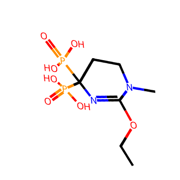 CCOC1=NC(P(=O)(O)O)(P(=O)(O)O)CCN1C